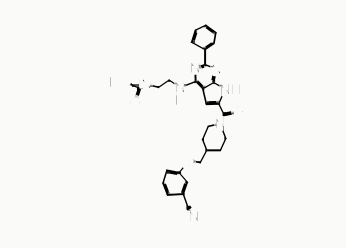 CC(=O)NCCNc1nc(-c2ccccc2)nc2[nH]c(C(=O)N3CCC(COc4cccc(C#N)c4)CC3)cc12